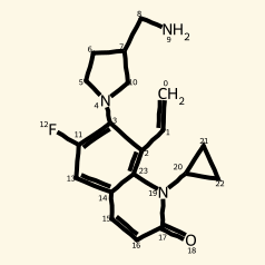 C=Cc1c(N2CCC(CN)C2)c(F)cc2ccc(=O)n(C3CC3)c12